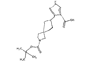 CC(C)(C)OC(=O)N1CC2(CC(c3n[nH]cc3C(=O)O)C2)C1